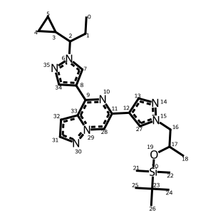 CCC(C1CC1)n1cc(-c2nc(-c3cnn(CC(C)O[Si](C)(C)C(C)(C)C)c3)cn3nccc23)cn1